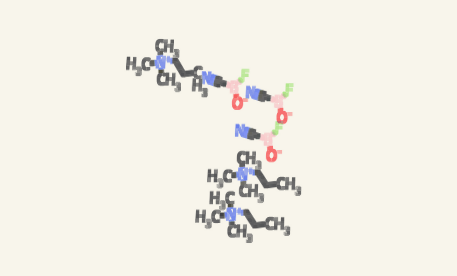 CCC[N+](C)(C)C.CCC[N+](C)(C)C.CCC[N+](C)(C)C.N#CB([O-])F.N#CB([O-])F.N#CB([O-])F